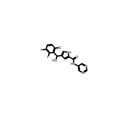 O=C(Nc1cncnc1)c1cc(C(O)c2c(Cl)ccc(F)c2F)c[nH]1